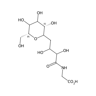 O=C(O)CNC(=O)C(O)C(O)CC1O[C@H](CO)C(O)C(O)[C@@H]1O